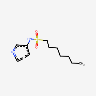 CCCCCCCS(=O)(=O)Nc1cccnc1